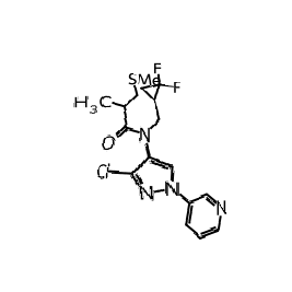 CSCC(C)C(=O)N(CC1CC1(F)F)c1cn(-c2cccnc2)nc1Cl